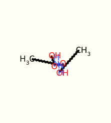 CCCCCCCCCCCCCCC(CCCCO)C(=O)NCCNC(=O)C(CCCCO)CCCCCCCCCCCCCC